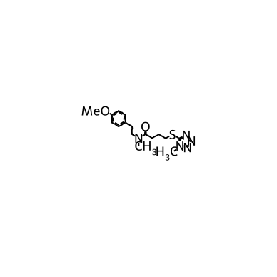 COc1ccc(CCN(C)C(=O)CCCSc2nnnn2C)cc1